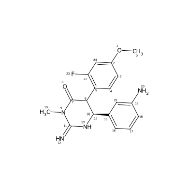 COc1ccc(C2C(=O)N(C)C(=N)N[C@@H]2c2cccc(N)c2)c(F)c1